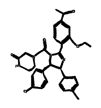 CCOc1cc(C(C)=O)ccc1C1=N[C@@H](c2ccc(C)cc2)[C@@H](c2ccc(Cl)cc2)N1C(=O)N1CCNC(=O)C1